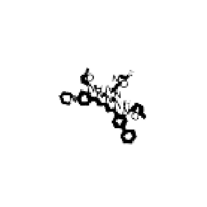 Cc1ccc(Nc2cc(N3CCCCC3)ccc2C2=CC3=CC(c4ccc(C5CCCCC5)cc4Nc4ccc(C)o4)=NC4=NC(c5ncc(F)o5)=NC(=N2)N34)o1